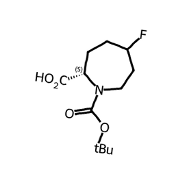 CC(C)(C)OC(=O)N1CCC(F)CC[C@H]1C(=O)O